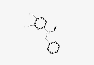 O=[C]N(Cc1ccccc1)c1ccc(Cl)c(Cl)c1